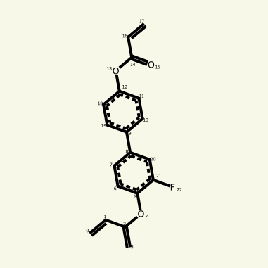 C=CC(=C)Oc1ccc(-c2ccc(OC(=O)C=C)cc2)cc1F